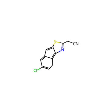 N#CCc1nc2c(s1)=CC1=CC(Cl)=CCC=21